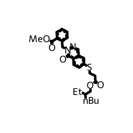 CCCCC(CC)COC(=O)CCSc1ccc2c(=O)n(Cc3ccccc3C(=O)OC)ncc2c1